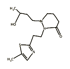 Cc1cnc(CCN2C(=O)CCCN2CCC(C)O)s1